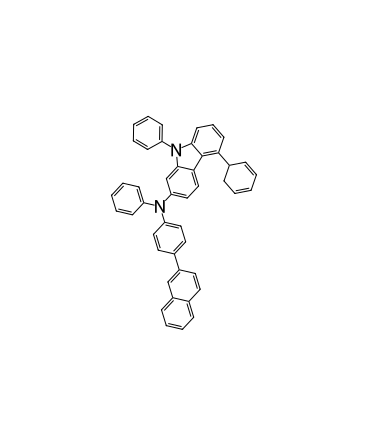 C1=CCC(c2cccc3c2c2ccc(N(c4ccccc4)c4ccc(-c5ccc6ccccc6c5)cc4)cc2n3-c2ccccc2)C=C1